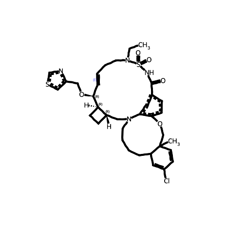 CCN1CC/C=C/[C@H](OCc2cscn2)[C@@H]2CC[C@H]2CN2CCCCC3C=C(Cl)C=CC3(C)COc3ccc(cc32)C(=O)NS1(=O)=O